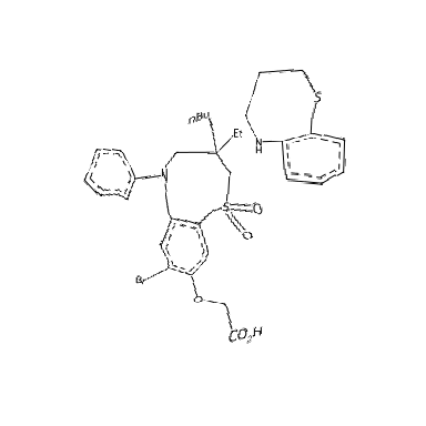 CCCCC1(CC)CN(c2ccccc2)c2cc(Br)c(OCC(=O)O)cc2S(=O)(=O)C1.c1ccc2c(c1)NCCCS2